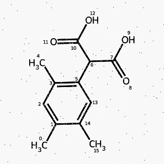 Cc1cc(C)c(C(C(=O)O)C(=O)O)cc1C